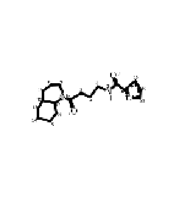 O=C(NCCCC(=O)N1CCCC2CCCCC21)c1ccco1